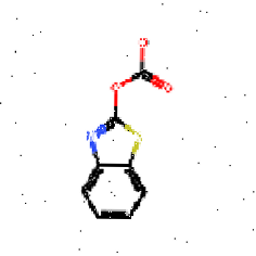 [O]C(=O)Oc1nc2ccccc2s1